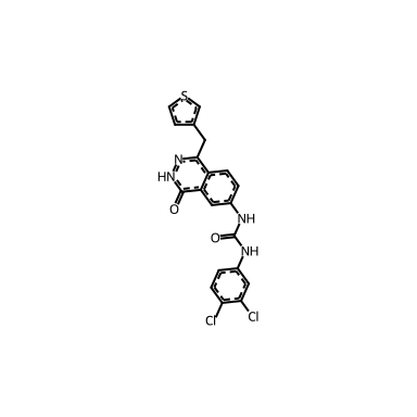 O=C(Nc1ccc(Cl)c(Cl)c1)Nc1ccc2c(Cc3ccsc3)n[nH]c(=O)c2c1